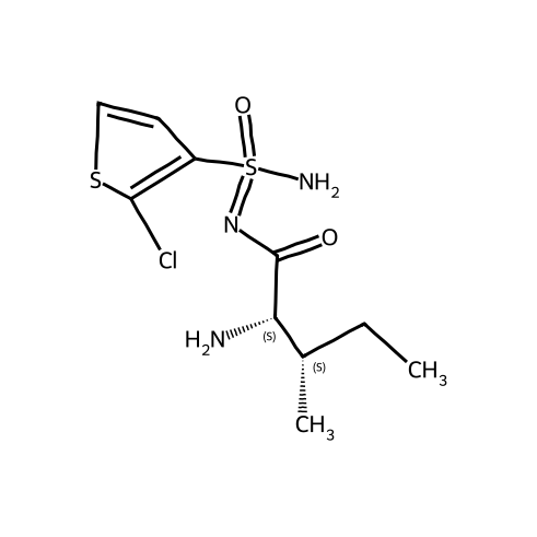 CC[C@H](C)[C@H](N)C(=O)N=S(N)(=O)c1ccsc1Cl